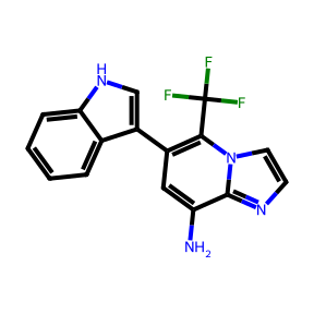 Nc1cc(-c2c[nH]c3ccccc23)c(C(F)(F)F)n2ccnc12